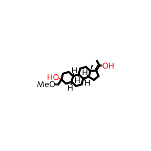 COC[C@]1(O)CC[C@H]2[C@H](CC[C@@H]3[C@@H]2CC[C@]2(C)/C(=C(\C)O)CC[C@@H]32)C1